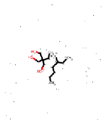 CCC(CO)(CO)CO.CCCCC(C)CC